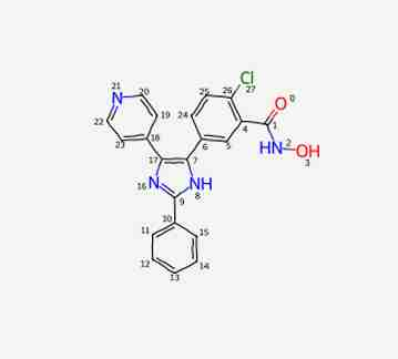 O=C(NO)c1cc(-c2[nH]c(-c3ccccc3)nc2-c2ccncc2)ccc1Cl